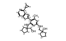 Cc1nc(NCC2(O)CCCC2)nc(NC2(CO)CCCC2)c1-c1nc2c(C3CC3)nccc2s1